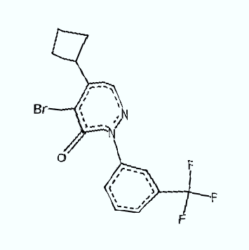 O=c1c(Br)c(C2CCC2)cnn1-c1cccc(C(F)(F)F)c1